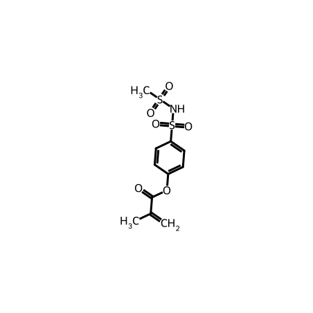 C=C(C)C(=O)Oc1ccc(S(=O)(=O)NS(C)(=O)=O)cc1